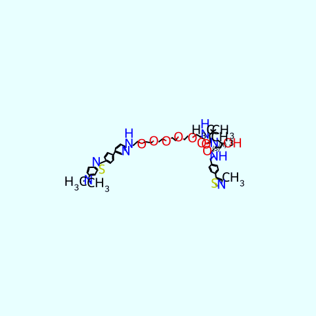 Cc1ncsc1-c1ccc(CNC(=O)[C@@H]2C[C@@H](O)CN2C(=O)C(NC(=O)COCCOCCOCCOCCOCCNc2ccc(-c3ccc(-c4nc5ccc(N(C)C)cc5s4)cc3)cn2)C(C)(C)C)cc1